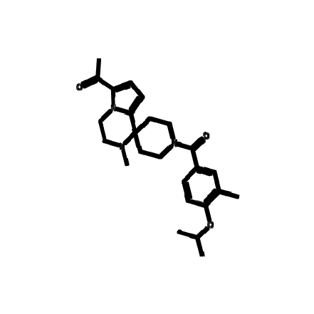 CC(=O)c1ccc2n1CCN(C)C21CCN(C(=O)c2ccc(OC(C)C)c(C)c2)CC1